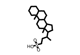 CC(CCS(=O)(=O)O)C1CCC2C3CCC4CCCCC4(C)C3CCC12C